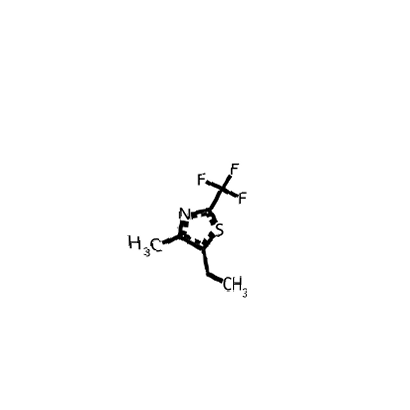 CCc1sc(C(F)(F)F)nc1C